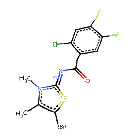 Cc1c(C(C)(C)C)s/c(=N\C(=O)c2cc(F)c(F)cc2Cl)n1C